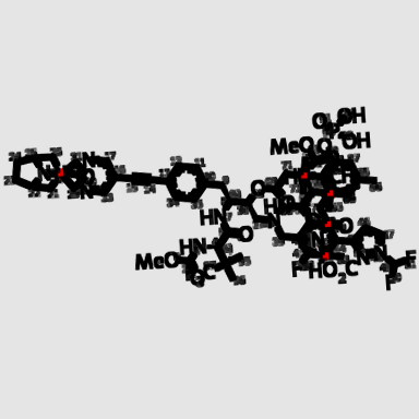 COC(=O)N[C@H](C(=O)N[C@@H](Cc1ccc(C#Cc2cnc(N3CC4CCC(C3)N4C3COC3)nc2)cc1)[C@H](CN(Cc1c(F)cc(-c2ccn(C(F)F)n2)cc1F)NC(=O)[C@@H](NC(=O)OC)C(C)(C)C(F)(F)F)OC(=O)CC(C)(C)c1c(CC(=O)N[C@@H](C)C(=O)O)cc(C)cc1OP(=O)(O)O)C(C)(C)C(F)(F)F